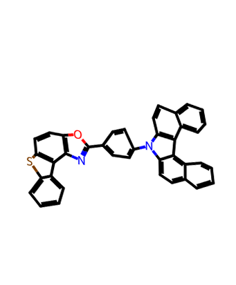 c1ccc2c(c1)ccc1c2c2c3ccccc3ccc2n1-c1ccc(-c2nc3c(ccc4sc5ccccc5c43)o2)cc1